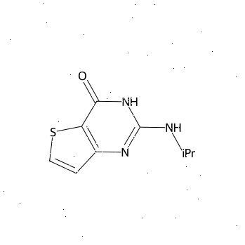 CC(C)Nc1nc2ccsc2c(=O)[nH]1